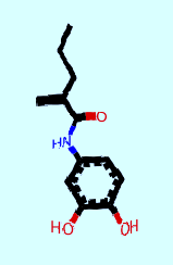 C=C(CCC)C(=O)Nc1ccc(O)c(O)c1